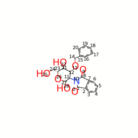 O=C1c2ccccc2C(=O)N1[C@@H]1[C@@H](OCc2ccccc2)[C@H](O)[C@@H](CO)O[C@H]1O